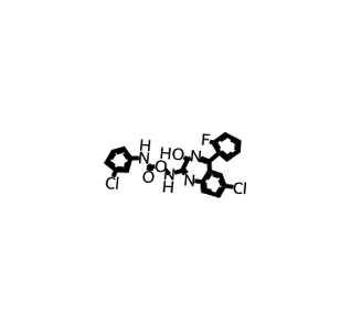 O=C(Nc1cccc(Cl)c1)ONC1=Nc2ccc(Cl)cc2C(c2ccccc2F)=NC1O